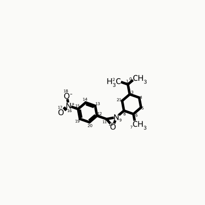 CC(C)C1CCC(C)C(N2OC2c2ccc([N+](=O)[O-])cc2)C1